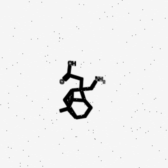 CC1C2CCC3C(CN)(CC(=O)O)C(C2)C13F